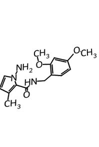 COc1ccc(CNC(=O)c2c(C)ccn2N)c(OC)c1